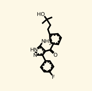 CC(C)(O)CCc1cccc(C(=O)c2c(-c3ccc(F)cc3)n[nH]c2N)c1